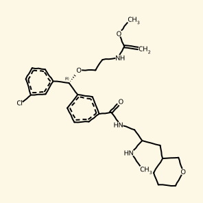 C=C(NCCO[C@@H](c1cccc(Cl)c1)c1cccc(C(=O)NCC(CC2CCCOC2)NC)c1)OC